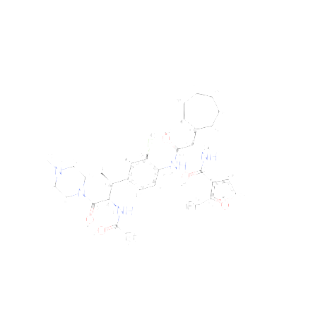 CCC(=O)N[C@@H](C(=O)N1CCN(C)CC1)[C@@H](C)c1ccc(NC(=O)[C@@H](NC(=O)c2ccoc2C(C)C)C2CCCCCC2)c(F)c1